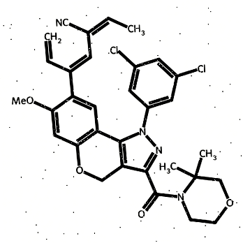 C=C/C(=C\C(C#N)=C/C)c1cc2c(cc1OC)OCc1c(C(=O)N3CCOCC3(C)C)nn(-c3cc(Cl)cc(Cl)c3)c1-2